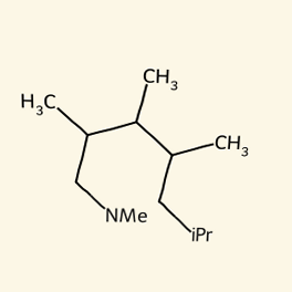 CNCC(C)C(C)C(C)CC(C)C